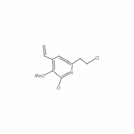 C=Cc1cc(CCCl)nc(Cl)c1OC